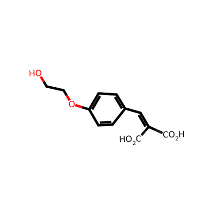 O=C(O)C(=Cc1ccc(OCCO)cc1)C(=O)O